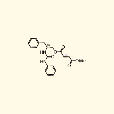 COC(=O)/C=C/C(=O)OC[C@@H](Cc1ccccc1)NC(=O)Nc1ccccc1